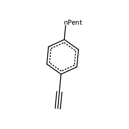 [C]#Cc1ccc(CCCCC)cc1